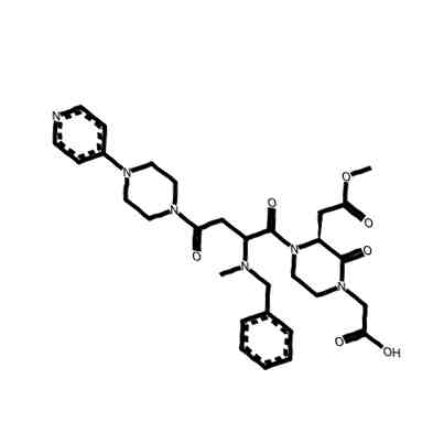 COC(=O)C[C@H]1C(=O)N(CC(=O)O)CCN1C(=O)C(CC(=O)N1CCN(c2ccncc2)CC1)N(C)Cc1ccccc1